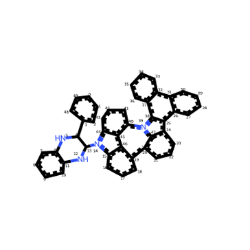 c1ccc(C2Nc3ccccc3NC2n2c3cccc4c5cccc6c7c8ccccc8c8ccccc8c7n(c7cccc2c7c43)c56)cc1